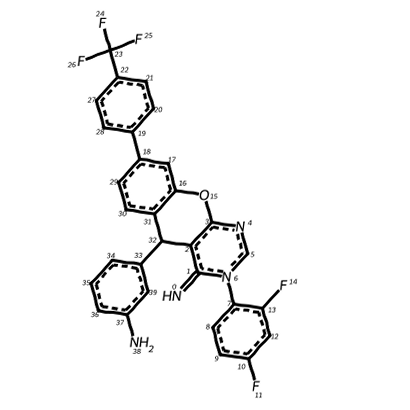 N=c1c2c(ncn1-c1ccc(F)cc1F)Oc1cc(-c3ccc(C(F)(F)F)cc3)ccc1C2c1cccc(N)c1